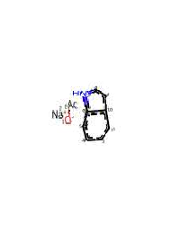 CC(=O)[O-].[Na+].c1ccc2[nH]ccc2c1